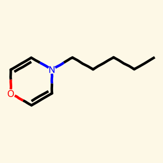 CCCCCN1C=COC=C1